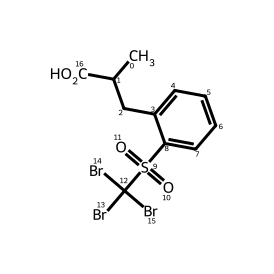 CC(Cc1ccccc1S(=O)(=O)C(Br)(Br)Br)C(=O)O